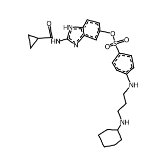 O=C(Nc1nc2cc(OS(=O)(=O)c3ccc(NCCCNC4CCCCC4)cc3)ccc2[nH]1)C1CC1